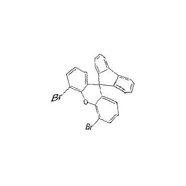 Brc1cccc2c1Oc1c(Br)cccc1C21c2ccccc2-c2ccccc21